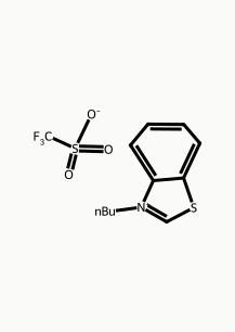 CCCC[n+]1csc2ccccc21.O=S(=O)([O-])C(F)(F)F